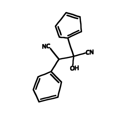 N#CC(c1ccccc1)C(O)(C#N)c1ccccc1